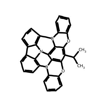 CC(C)c1c2c3c4c5c1Oc1ccccc1B5c1cccc5c6cccc(c6n-4c15)B3c1ccccc1O2